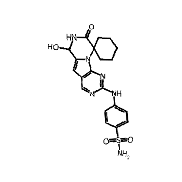 NS(=O)(=O)c1ccc(Nc2ncc3cc4n(c3n2)C2(CCCCC2)C(=O)NC4O)cc1